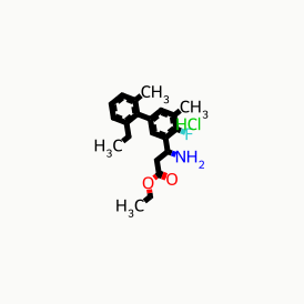 CCOC(=O)CC(N)c1cc(-c2c(C)cccc2CC)cc(C)c1F.Cl